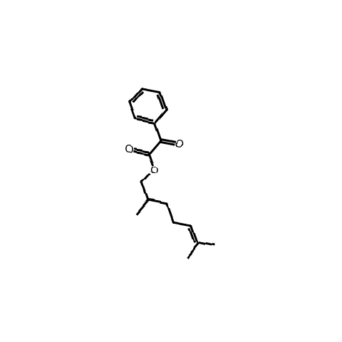 CC(C)=CCCC(C)COC(=O)C(=O)c1ccccc1